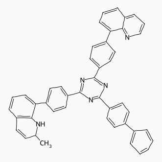 CC1C=Cc2cccc(-c3ccc(-c4nc(-c5ccc(-c6ccccc6)cc5)nc(-c5ccc(-c6cccc7cccnc67)cc5)n4)cc3)c2N1